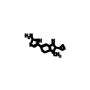 CN1C2=C(C=C(C3=CSC(N)N3)CC2)NC1C1CCC1